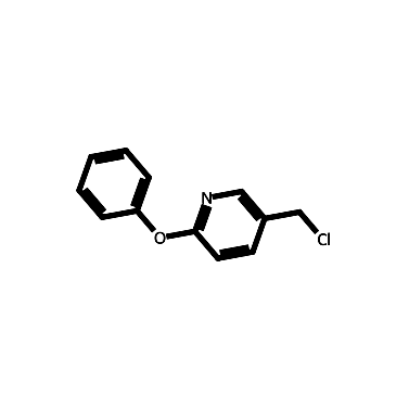 ClCc1ccc(Oc2ccccc2)nc1